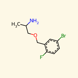 CC(N)COCc1cc(Br)ccc1F